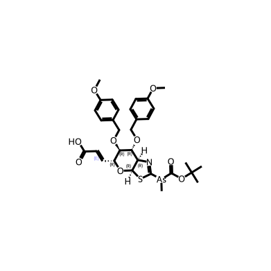 COc1ccc(CO[C@@H]2[C@H]3N=C([As](C)C(=O)OC(C)(C)C)S[C@H]3O[C@H](/C=C/C(=O)O)[C@H]2OCc2ccc(OC)cc2)cc1